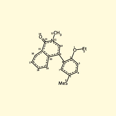 CCOc1ccc(SC)cc1-c1cn(C)c(=O)c2ccccc12